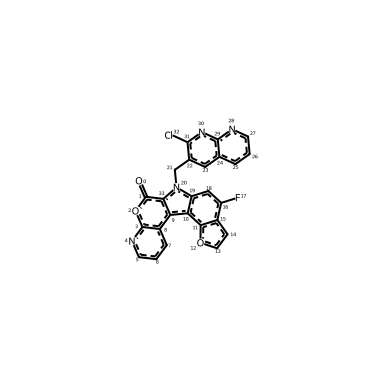 O=c1oc2ncccc2c2c3c4occc4c(F)cc3n(Cc3cc4cccnc4nc3Cl)c12